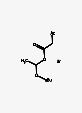 CCCCOC(C)OC(=O)CC(C)=O.[Zr]